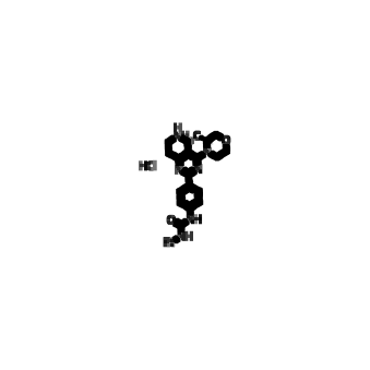 CCNC(=O)Nc1ccc(-c2nc3c(c(N4CCOC[C@@H]4C)n2)CNCC3)cc1.Cl